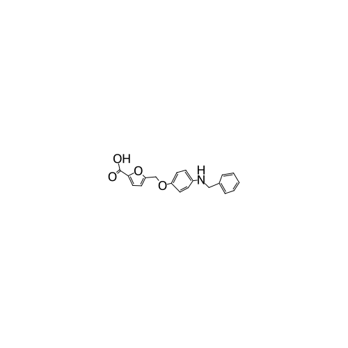 O=C(O)c1ccc(COc2ccc(NCc3ccccc3)cc2)o1